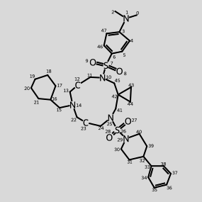 CN(C)c1ccc(S(=O)(=O)N2CCCN(CC3CCCCC3)CCCN(S(=O)(=O)N3CCC(c4ccccc4)CC3)CC3(CC3)C2)cc1